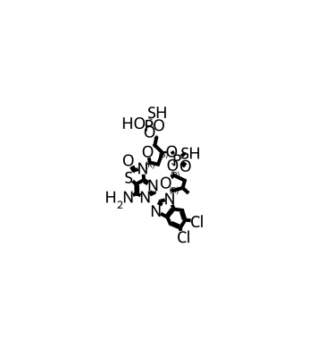 CC1C[C@@H](OP(=O)(S)O[C@H]2C[C@H](n3c(=O)sc4c(N)ncnc43)OC2COP(=O)(O)S)O[C@H]1n1cnc2cc(Cl)c(Cl)cc21